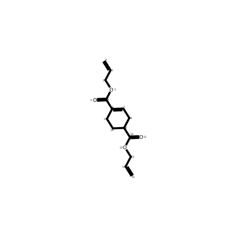 C=CCOC(=O)C1=CCC(C(=O)OCC=C)CC1